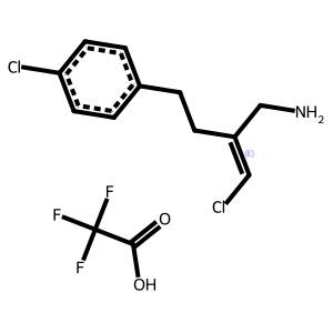 NC/C(=C/Cl)CCc1ccc(Cl)cc1.O=C(O)C(F)(F)F